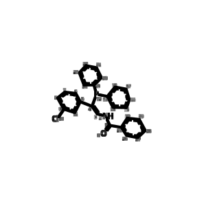 O=C(NC=C(c1cccc(Cl)c1)P(c1ccccc1)c1ccccc1)c1ccccc1